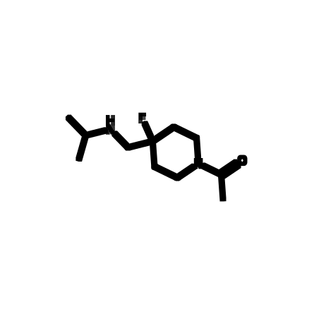 CC(=O)N1CCC(F)(CNC(C)C)CC1